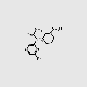 NC(=O)N(c1cncc(Br)n1)[C@H]1CCCN(C(=O)O)C1